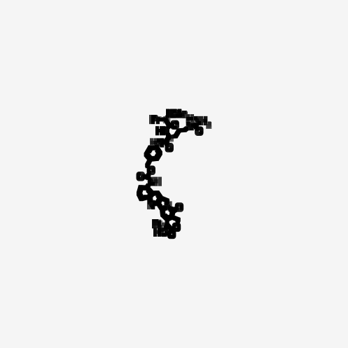 CC[C@@]1(O)C(=O)OCc2c1cc1n(c2=O)Cc2cc3c(NC(=O)OCc4ccc(NC(=O)[C@H](CCCNC(N)=O)NC(=O)[C@@H](NC)C(C)C)cc4)cccc3nc2-1